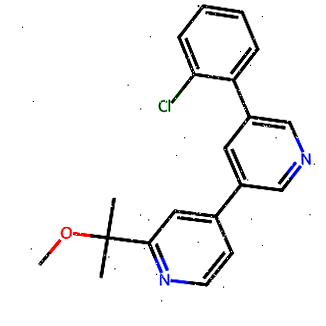 COC(C)(C)c1cc(-c2cncc(-c3cc[c]cc3Cl)c2)ccn1